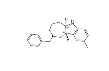 Cc1ccc2c(c1)[C@@H]1CN(Cc3ccccc3)CCC[C@H]1N2